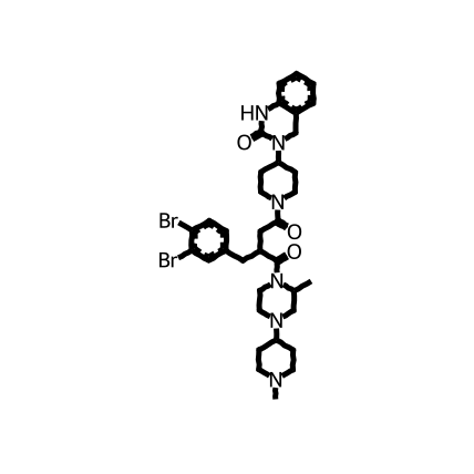 CC1CN(C2CCN(C)CC2)CCN1C(=O)C(CC(=O)N1CCC(N2Cc3ccccc3NC2=O)CC1)Cc1ccc(Br)c(Br)c1